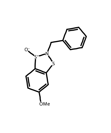 COc1ccc2c(c1)SN(Cc1ccccc1)[S+]2[O-]